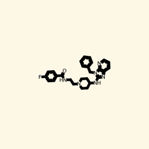 O=C(NCCN1CCC(Nc2nc3cccnc3n2Cc2ccccc2)CC1)c1ccc(F)cc1